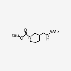 CSNCC1CCCN(C(=O)OC(C)(C)C)C1